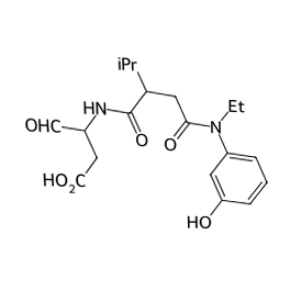 CCN(C(=O)CC(C(=O)NC(C=O)CC(=O)O)C(C)C)c1cccc(O)c1